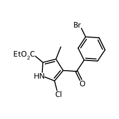 CCOC(=O)c1[nH]c(Cl)c(C(=O)c2cccc(Br)c2)c1C